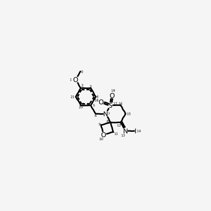 COc1ccc(CN2C3(COC3)/C(=N/I)CCS2(=O)=O)cc1